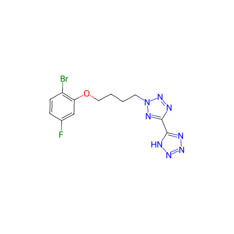 Fc1ccc(Br)c(OCCCCn2nnc(-c3nnn[nH]3)n2)c1